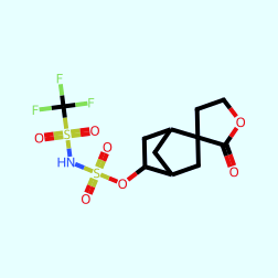 O=C1OCCC12CC1CC2CC1OS(=O)(=O)NS(=O)(=O)C(F)(F)F